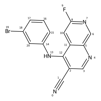 N#Cc1cnc2cnc(F)cc2c1Nc1cccc(Br)c1